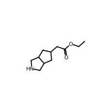 CCOC(=O)CC1CC2CNCC2C1